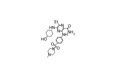 CCc1nc(C(N)=O)c(Nc2ccc(S(=O)(=O)N3CCN(C)CC3)cc2)nc1N[C@H]1CC[C@H](O)CC1